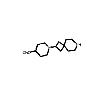 O=CC1CCN(C2CC3(CCNCC3)C2)CC1